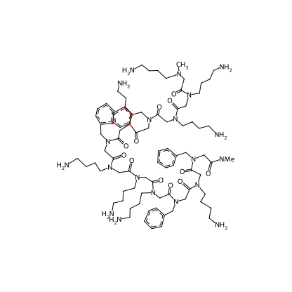 CNC(=O)CN(Cc1ccccc1)C(=O)CN(CCCCN)C(=O)CN(Cc1ccccc1)C(=O)CN(CCCCN)C(=O)CN(CCCCN)C(=O)CN(CCCCN)C(=O)CN(Cc1ccccc1)C(=O)CC(CCCCN)C(=O)CN(Cc1ccccc1)C(=O)CN(CCCCN)C(=O)CN(CCCCN)C(=O)CN(C)CCCCN